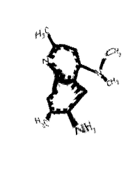 Cc1cc(N(C)C)c2cc(N)c(C)cc2n1